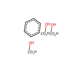 O=C(O)O.O=C(O)O.O=C(O)O.c1ccccc1